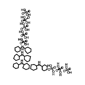 C1CCC(NC2CCCCC2)CC1.C1CCC(NC2CCCCC2)CC1.C1CCC(NC2CCCCC2)CC1.C1CCC(NC2CCCCC2)CC1.[O]=[W](=[O])([OH])[OH].[O]=[W](=[O])([OH])[OH].[O]=[W](=[O])([OH])[OH].[O]=[W](=[O])([OH])[OH].[O]=[W](=[O])([OH])[OH].[O]=[W](=[O])([OH])[OH].[O]=[W](=[O])([OH])[OH].[O]=[W](=[O])([OH])[OH]